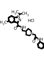 Cc1ccc2c(c1)c(C(=O)NCC1CCN(CC(=O)Nc3ccccc3)CC1)nn2C(C)C.Cl